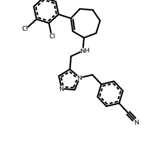 N#Cc1ccc(Cn2cncc2CNC2C=C(c3cccc(Cl)c3Cl)CCCC2)cc1